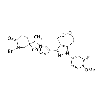 CCCC1(C(C)n2cc(-c3nn(-c4cnc(OC)c(F)c4)c4c3CCOCC4)cn2)CCC(=O)N(CC)C1